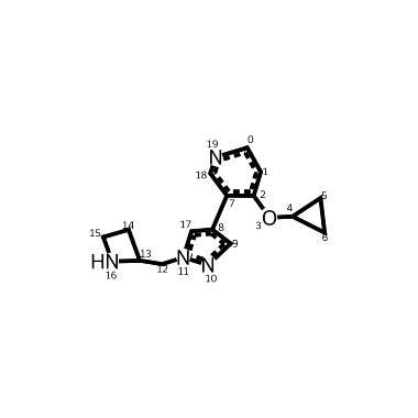 c1cc(OC2CC2)c(-c2cnn(CC3CCN3)c2)cn1